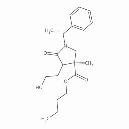 CCCCOC(=O)[C@]1(C)CN([C@H](C)c2ccccc2)C(=O)C1CCO